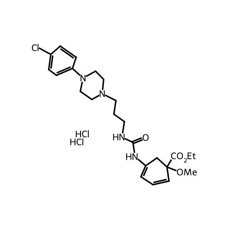 CCOC(=O)C1(OC)C=CC=C(NC(=O)NCCCN2CCN(c3ccc(Cl)cc3)CC2)C1.Cl.Cl